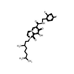 CC(C)CCCC(C)CCn1ccn2cc(C(=O)NCc3ccc(F)cc3F)c(=O)c(O)c2c1=O